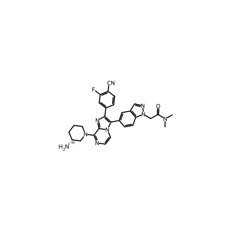 CN(C)C(=O)Cn1ncc2cc(-c3c(-c4ccc(C#N)c(F)c4)nc4c(N5CCC[C@@H](N)C5)nccn34)ccc21